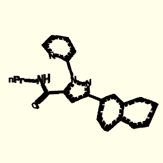 CCCNC(=O)c1cc(-c2ccc3ccccc3c2)nn1-c1ccccn1